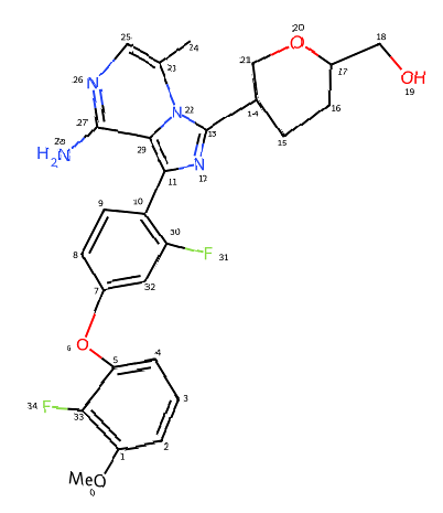 COc1cccc(Oc2ccc(-c3nc(C4CCC(CO)OC4)n4c(C)cnc(N)c34)c(F)c2)c1F